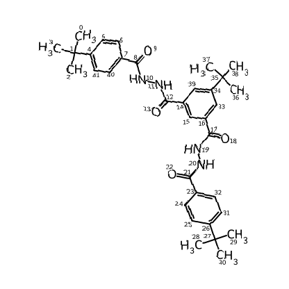 CC(C)(C)c1ccc(C(=O)NNC(=O)c2cc(C(=O)NNC(=O)c3ccc(C(C)(C)C)cc3)cc(C(C)(C)C)c2)cc1